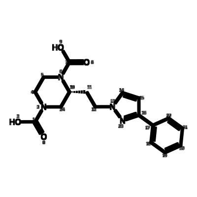 O=C(O)N1CCN(C(=O)O)[C@H](CCn2ccc(-c3ccccc3)n2)C1